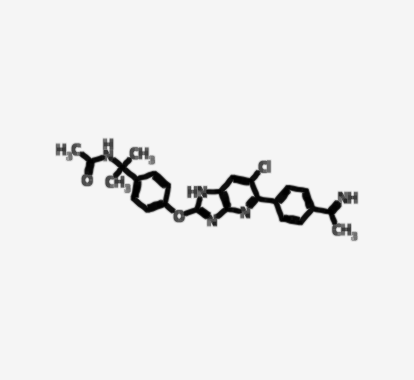 CC(=N)c1ccc(-c2nc3nc(Oc4ccc(C(C)(C)NC(C)=O)cc4)[nH]c3cc2Cl)cc1